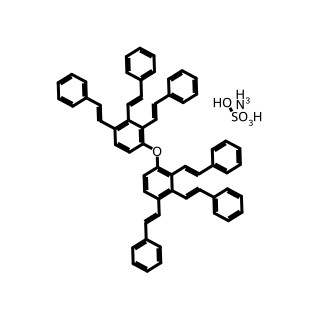 C(=Cc1ccc(Oc2ccc(C=Cc3ccccc3)c(C=Cc3ccccc3)c2C=Cc2ccccc2)c(C=Cc2ccccc2)c1C=Cc1ccccc1)c1ccccc1.N.O=S(=O)(O)O